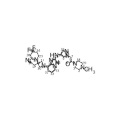 CN1CCN(C(=O)Cn2cc(Nc3nc4c(N5CC(CC#N)(N6CCC(F)(F)CC6)C5)cccn4n3)cn2)CC1